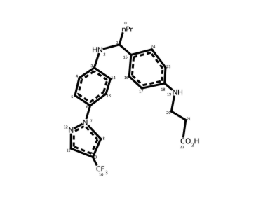 CCCC(Nc1ccc(-n2cc(C(F)(F)F)cn2)cc1)c1ccc(NCCC(=O)O)cc1